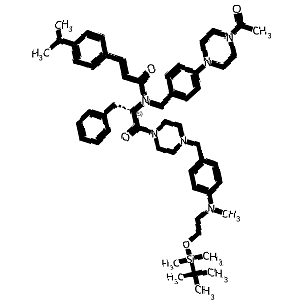 CC(=O)N1CCN(c2ccc(CN(C(=O)C=Cc3ccc(C(C)C)cc3)[C@@H](Cc3ccccc3)C(=O)N3CCN(Cc4ccc(N(C)CCO[Si](C)(C)C(C)(C)C)cc4)CC3)cc2)CC1